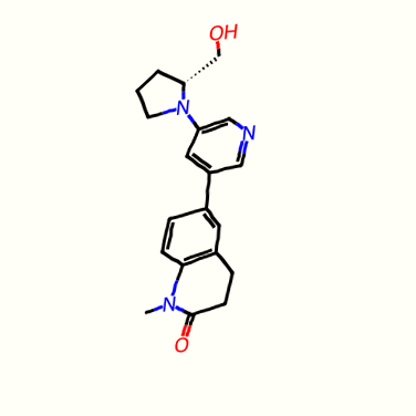 CN1C(=O)CCc2cc(-c3cncc(N4CCC[C@@H]4CO)c3)ccc21